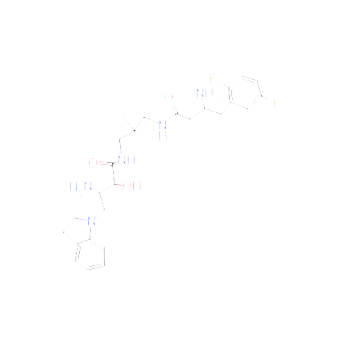 CC(C)(CNC(=O)CC(N)Cc1cc(F)ccc1F)CNC(=O)C(O)C(N)Cn1ccc2ccccc21